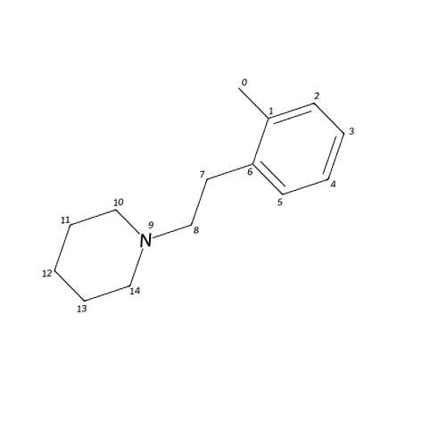 Cc1ccccc1CCN1CCCCC1